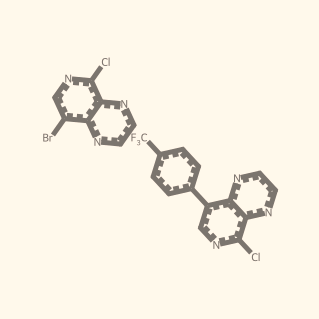 Clc1ncc(Br)c2nccnc12.FC(F)(F)c1ccc(-c2cnc(Cl)c3nccnc23)cc1